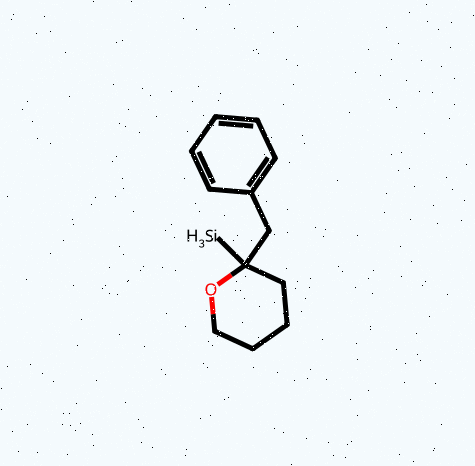 [SiH3]C1(Cc2ccccc2)CCCCO1